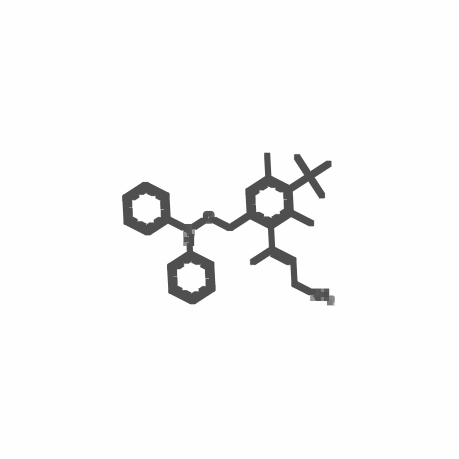 CC(=CCN)c1c(CO[SiH](c2ccccc2)c2ccccc2)cc(C)c(C(C)(C)C)c1C